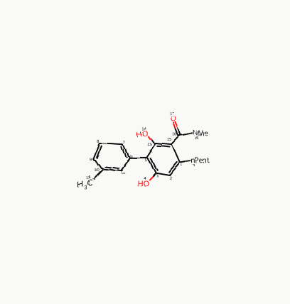 CCCCCc1cc(O)c(-c2cccc(C)c2)c(O)c1C(=O)NC